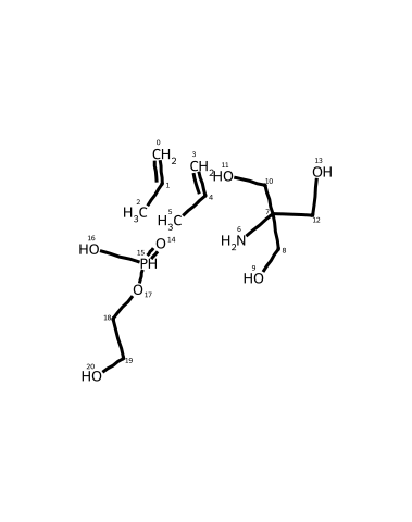 C=CC.C=CC.NC(CO)(CO)CO.O=[PH](O)OCCO